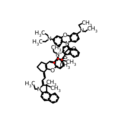 CCN(CC)c1ccc2c(c1)Oc1cc(N(CC)CC)ccc1N2C(=O)CSc1ccc(OC2=C(/C=C/C3=[N+](CC)c4ccc5ccccc5c4C3(C)C)CCC/C2=C\C=C2\N(CC)c3ccc4ccccc4c3C2(C)C)cc1